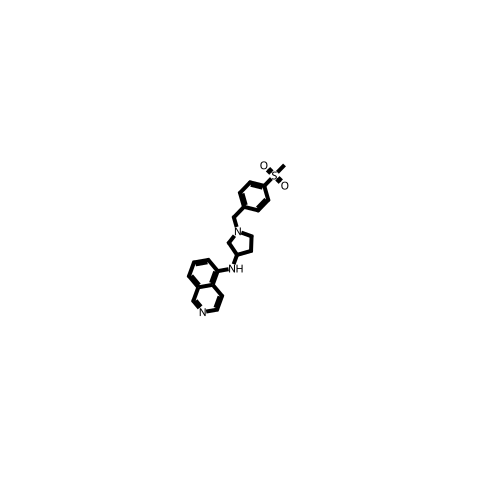 CS(=O)(=O)c1ccc(CN2CCC(Nc3cccc4cnccc34)C2)cc1